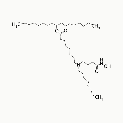 CCCCCCCCC(CCCCCCCC)OC(=O)CCCCCCCN(CCCCCCCC)CCCC(=O)NO